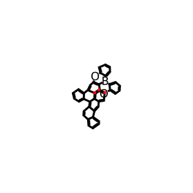 c1ccc2c(c1)Oc1cc(-c3ccccc3-c3c4ccccc4cc4c3ccc3ccccc34)cc3c1B2c1ccccc1O3